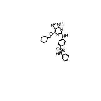 O=S(=O)(Nc1ccccc1)c1ccc(Nc2nc(OCC3CCCCC3)c3nc[nH]c3n2)cc1